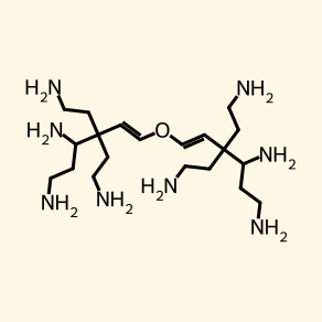 NCCC(N)C(C=COC=CC(CCN)(CCN)C(N)CCN)(CCN)CCN